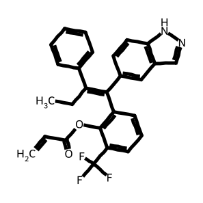 C=CC(=O)Oc1c(/C(=C(\CC)c2ccccc2)c2ccc3[nH]ncc3c2)cccc1C(F)(F)F